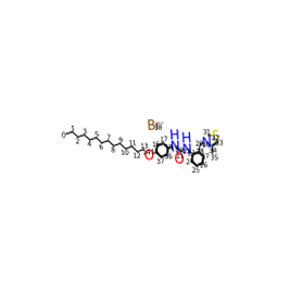 CCCCCCCCCCCCCCOc1ccc(NC(=O)Nc2ccccc2C[n+]2cscc2C)cc1.[Br-]